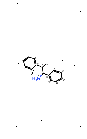 Cc1ccccc1C(C)C(N)c1ccccc1